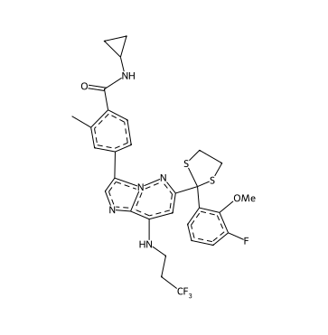 COc1c(F)cccc1C1(c2cc(NCCC(F)(F)F)c3ncc(-c4ccc(C(=O)NC5CC5)c(C)c4)n3n2)SCCS1